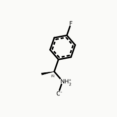 [CH2-][NH2+][C@@H](C)c1ccc(F)cc1